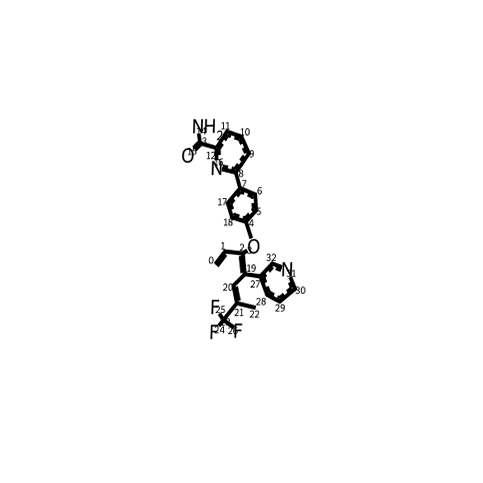 C=C/C(Oc1ccc(-c2cccc(C(N)=O)n2)cc1)=C(\C=C(/C)C(F)(F)F)c1cccnc1